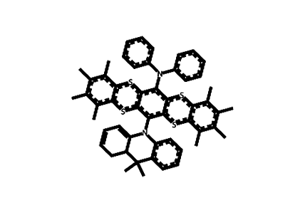 Cc1c(C)c(C)c2sc3c(N(c4ccccc4)c4ccccc4)c4sc5c(C)c(C)c(C)c(C)c5sc4c(N4C5=CC=CCC5C(C)(C)c5ccccc54)c3sc2c1C